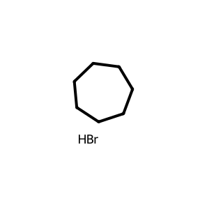 Br.C1CCCCCC1